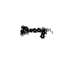 NC(=O)c1ncc(N2CCCCC2)nc1Nc1ccc(C2CCN(C3CC(n4ccc5c6c(C7CCC(=O)NC7=O)noc6ccc54)C3)CC2)cc1